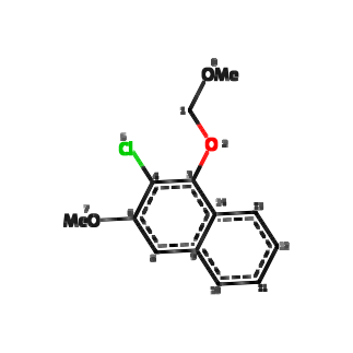 COCOc1c(Cl)c(OC)cc2ccccc12